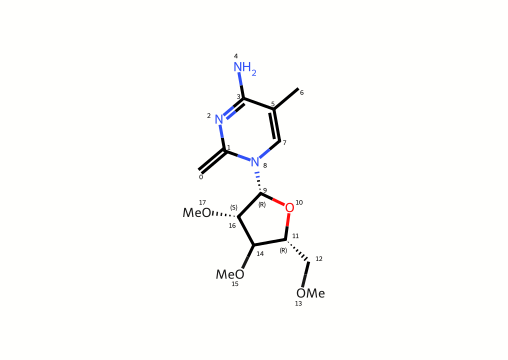 C=C1N=C(N)C(C)=CN1[C@@H]1O[C@H](COC)C(OC)[C@@H]1OC